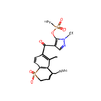 CCCS(=O)(=O)Oc1c(C(=O)c2ccc3c(c2C)C(NC)CCS3(=O)=O)cnn1CC